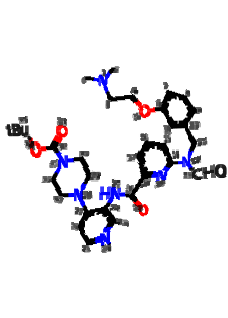 CN(C)CCOc1cccc(CN(C=O)c2cccc(C(=O)Nc3cnccc3N3CCN(C(=O)OC(C)(C)C)CC3)n2)c1